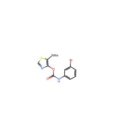 CNc1scnc1OC(=O)Nc1cccc(Br)c1